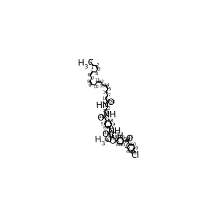 CC/C=C\C/C=C\C/C=C\C/C=C\C/C=C\CCCC(=O)NCCNC(=O)c1ccc(NC(=O)C(C)(C)Oc2ccc(C(=O)c3ccc(Cl)cc3)cc2)cc1